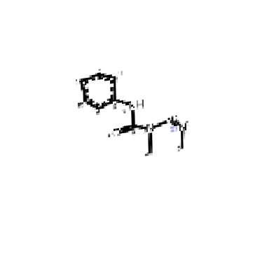 C/N=N\N(C)C(=O)Nc1ccccc1